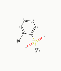 CCC(C)c1ccccc1S(=O)(=O)C(F)(F)F